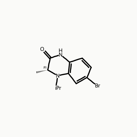 CC(C)N1c2cc(Br)ccc2NC(=O)[C@H]1C